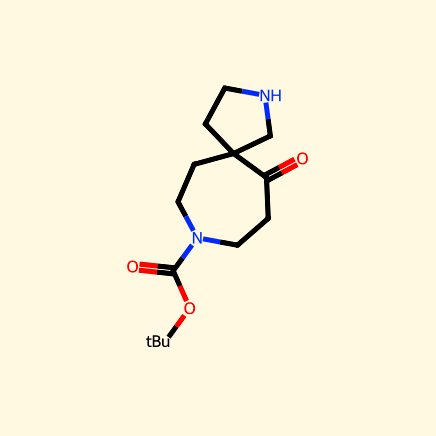 CC(C)(C)OC(=O)N1CCC(=O)C2(CCNC2)CC1